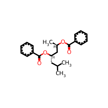 CC(C)C[C@@H](C[C@@H](C)OC(=O)c1ccccc1)OC(=O)c1ccccc1